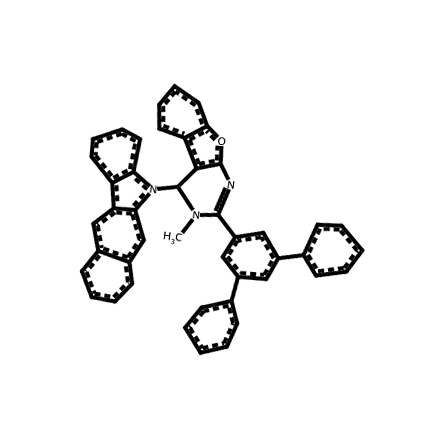 CN1C(c2cc(-c3ccccc3)cc(-c3ccccc3)c2)=Nc2oc3ccccc3c2C1n1c2ccccc2c2cc3ccccc3cc21